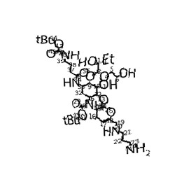 CC[C@@H](O)[C@H](OCCO)O[C@@H]1[C@@H](O)[C@H](O[C@@H]2CCC=C(CNCCCN)O2)[C@@H](NC(=O)OC(C)(C)C)C[C@H]1NC(=O)CCCNC(=O)OC(C)(C)C